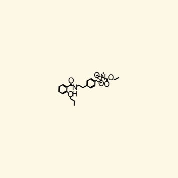 CCCOc1ccccc1C(=O)NCCc1ccc(S(=O)(=O)N(C)C(=O)OCC)cc1